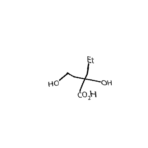 CCC(O)(CO)C(=O)O